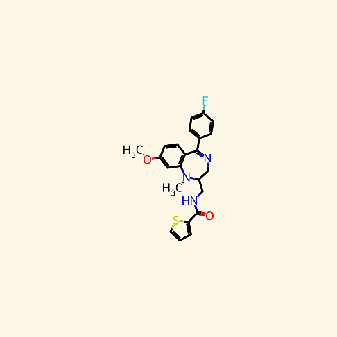 COc1ccc2c(c1)N(C)C(CNC(=O)c1cccs1)CN=C2c1ccc(F)cc1